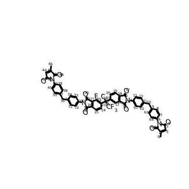 CC1=CC(=O)N(c2ccc(Cc3ccc(N4C(=O)c5ccc(C(c6ccc7c(c6)C(=O)N(c6ccc(Cc8ccc(N9C(=O)C=C(C)C9=O)cc8)cc6)C7=O)(C(F)(F)F)C(F)(F)F)cc5C4=O)cc3)cc2)C1=O